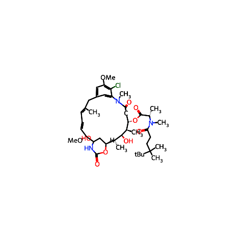 COc1cc2cc(c1Cl)N(C)C(=O)C[C@H](OC(=O)[C@H](C)N(C)C(=O)CCC(C)(C)C(C)(C)C)[C@@H](C)[C@@H](O)[C@H](C)[C@@H]1C[C@@](O)(NC(=O)O1)[C@H](OC)/C=C/C=C(\C)C2